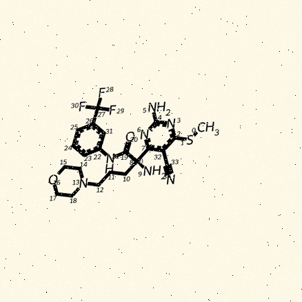 CSc1nc(N)nc([C@](N)(CCCN2CCOCC2)C(=O)Nc2cccc(C(F)(F)F)c2)c1C#N